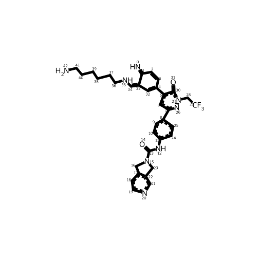 N=C1C=CC(c2cc(-c3ccc(NC(=O)N4Cc5ccncc5C4)cc3)nn(CC(F)(F)F)c2=O)=C/C1=C/NCCCCCCN